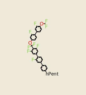 CCCCCc1ccc(-c2ccc(-c3cc(F)c(C(F)(F)Oc4ccc(-c5ccc(OC(F)F)c(F)c5)c(F)c4)c(F)c3)c(F)c2)cc1